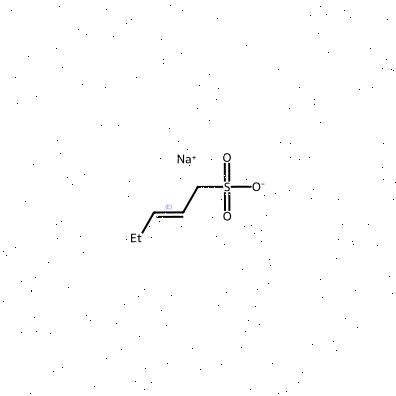 CC/C=C/CS(=O)(=O)[O-].[Na+]